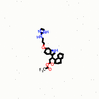 O=C(CC(c1cccc2ccccc12)c1c[nH]c2cc(OCCCNc3ncc[nH]3)ccc12)OC(=O)C(F)(F)F